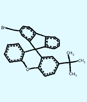 CC(C)(C)c1ccc2c(c1)C1(c3ccccc3O2)c2ccccc2-c2ccc(Br)cc21